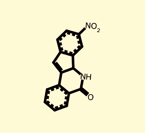 O=C1NC2C(=Cc3ccc([N+](=O)[O-])cc32)c2ccccc21